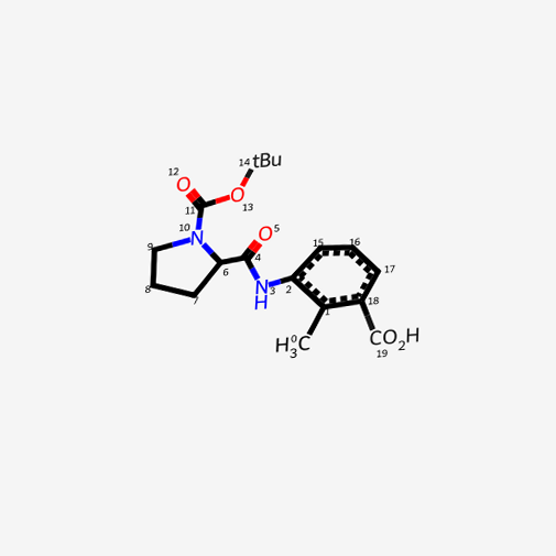 Cc1c(NC(=O)C2CCCN2C(=O)OC(C)(C)C)cccc1C(=O)O